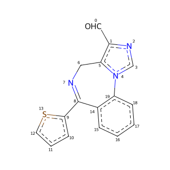 O=Cc1ncn2c1CN=C(c1cccs1)c1ccccc1-2